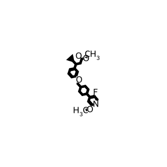 COC(=O)CC(c1cccc(OCC2CCC(c3cc(OC)ncc3F)CC2)c1)C1CC1